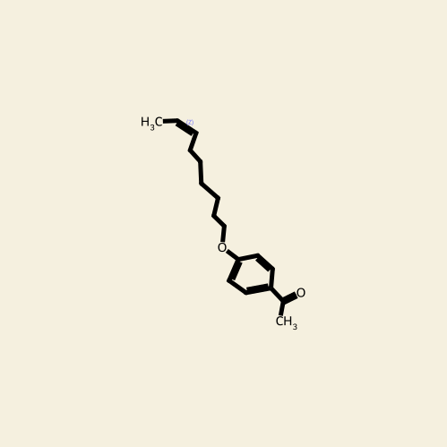 C/C=C\CCCCCCOc1ccc(C(C)=O)cc1